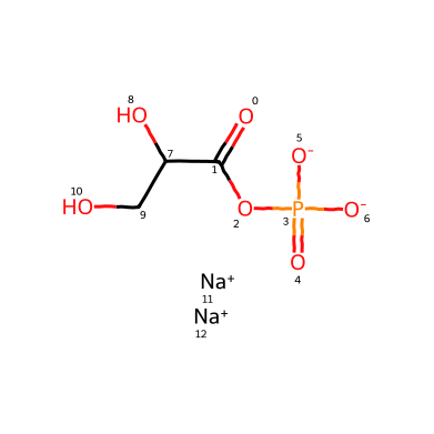 O=C(OP(=O)([O-])[O-])C(O)CO.[Na+].[Na+]